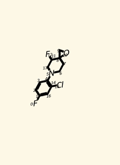 Fc1ccc(N2CCC3(CO3)C(F)C2)c(Cl)c1